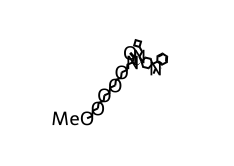 COCCOCCOCCOCCOCCN1C[C@]2(CC[C@@](c3ccccc3)(N(C)C)CC2)N(CC2CCC2)C1=O